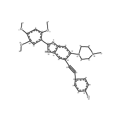 COc1cc(OC)c(-c2nc3cc(N4CCN(C)CC4)c(C#Cc4ccc(Cl)cc4)cc3[nH]2)cc1OC